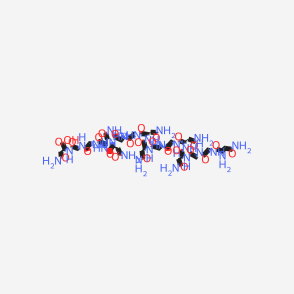 NC(=O)C[C@H](NC(=O)CNC(=O)CNC(=O)[C@H](CC(N)=O)NC(=O)[C@H](CC(N)=O)NC(=O)CNC(=O)CNC(=O)[C@H](CC(N)=O)NC(=O)[C@H](CC(N)=O)NC(=O)CNC(=O)CNC(=O)[C@H](CC(N)=O)NC(=O)[C@H](CC(N)=O)NC(=O)CNC(=O)CNC(=O)[C@@H](N)CC(N)=O)C(=O)O